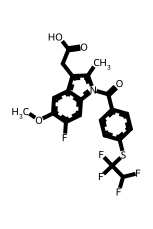 COc1cc2c(CC(=O)O)c(C)n(C(=O)c3ccc(SC(F)(F)C(F)F)cc3)c2cc1F